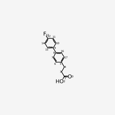 O=C(O)CCc1ccc(-c2ccc(F)cc2)cc1